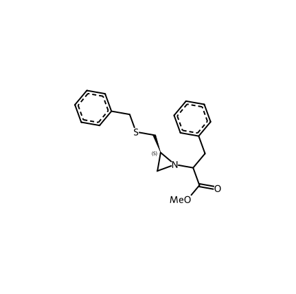 COC(=O)C(Cc1ccccc1)N1C[C@H]1CSCc1ccccc1